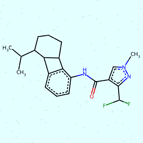 CC(C)C1CCCC2c3c(NC(=O)c4cn(C)nc4C(F)F)cccc3C21